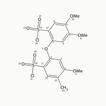 COc1cc(Oc2cc(OC)c(OC)cc2S(=O)(=O)Cl)c(S(=O)(=O)Cl)cc1C